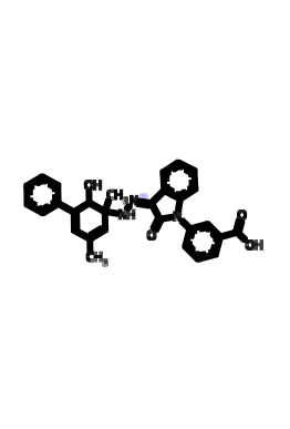 CC1=CC(C)(N/N=C2\C(=O)N(c3cccc(C(=O)O)c3)c3ccccc32)C(O)C(c2ccccc2)=C1